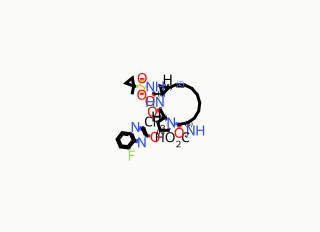 CC1(S(=O)(=O)NC(=O)[C@@]23C[C@H]2/C=C\CCCCC[C@H](NC(=O)O)C(=O)N2C[C@H](Oc4nc5c(F)cccc5nc4C(F)(F)F)C[C@H]2C(=O)N3)CC1